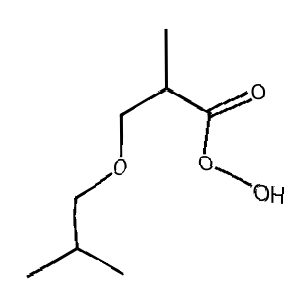 CC(C)COCC(C)C(=O)OO